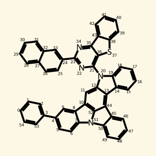 c1ccc(-c2ccc3c(c2)c2cc4c(c5ccccc5n4-c4nc(-c5ccc6ccccc6c5)nc5c4sc4ccccc45)c4c5ccccc5n3c24)cc1